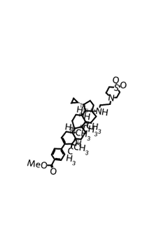 COC(=O)c1ccc(C2=CC[C@]3(C)[C@H]4CC[C@@H]5[C@H]6[C@H](C7CC7)CC[C@]6(NCCN6CCS(=O)(=O)CC6)CC[C@@]5(C)[C@]4(C)CC[C@H]3C2(C)C)cc1